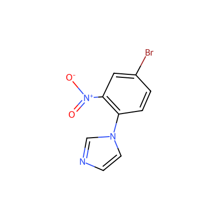 O=[N+]([O-])c1cc(Br)ccc1-n1ccnc1